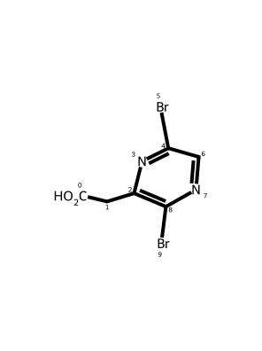 O=C(O)Cc1nc(Br)cnc1Br